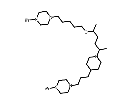 CC(CCC(C)N1CCC(CCCN2CCN(C(C)C)CC2)CC1)OCCCCCN1CCN(C(C)C)CC1